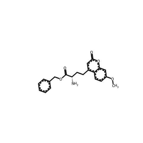 COc1ccc2c(CC[C@H](N)C(=O)OCc3ccccc3)cc(=O)oc2c1